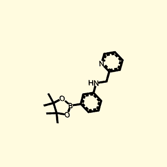 CC1(C)OB(c2cccc(NCc3ccccn3)c2)OC1(C)C